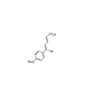 COc1ccc(C(=CC=CC(=O)O)C(C)C)cc1